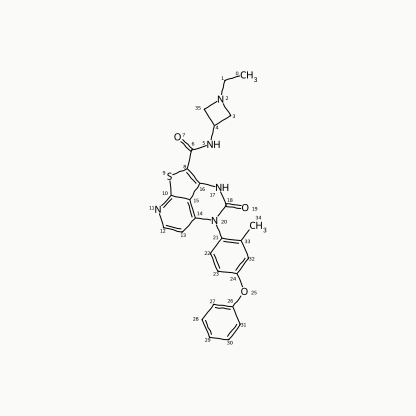 CCN1CC(NC(=O)c2sc3nccc4c3c2NC(=O)N4c2ccc(Oc3ccccc3)cc2C)C1